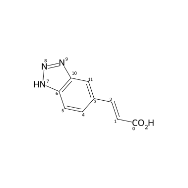 O=C(O)/C=C/c1ccc2[nH]nnc2c1